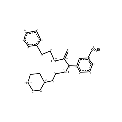 CCOC(=O)c1cccc(C(NCCC2CCNCC2)C(=O)NCCc2ccncc2)c1